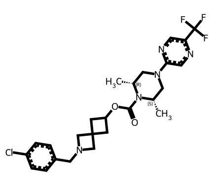 C[C@@H]1CN(c2cnc(C(F)(F)F)cn2)C[C@H](C)N1C(=O)OC1CC2(C1)CN(Cc1ccc(Cl)cc1)C2